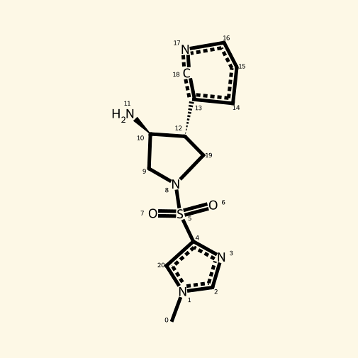 Cn1cnc(S(=O)(=O)N2C[C@@H](N)[C@H](c3cccnc3)C2)c1